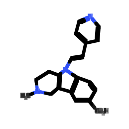 CN1CCc2c(c3cc(C(=O)O)ccc3n2C=Cc2ccncc2)C1